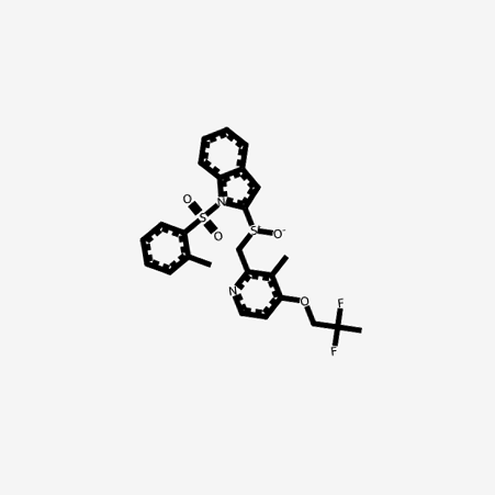 Cc1ccccc1S(=O)(=O)n1c([S+]([O-])Cc2nccc(OCC(C)(F)F)c2C)cc2ccccc21